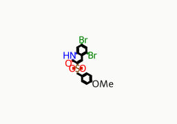 COc1ccc(CS(=O)(=O)c2cc3c(Br)cc(Br)cc3[nH]c2=O)cc1